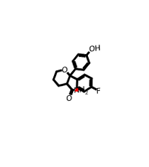 NC(=O)C1CCCOC1(c1ccc(O)cc1)c1ccc(F)cc1